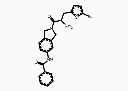 NC(Cc1ccc(Br)s1)C(=O)N1Cc2ccc(NC(=O)c3ccccc3)cc2C1